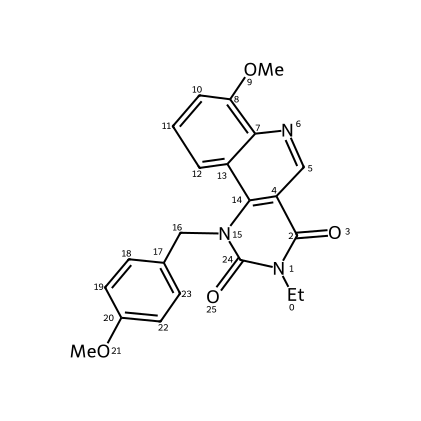 CCn1c(=O)c2cnc3c(OC)cccc3c2n(Cc2ccc(OC)cc2)c1=O